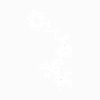 CCC(N)(CCc1ccc(C(=O)CCCCC2CCCCC2)s1)CCP(=O)(O)O